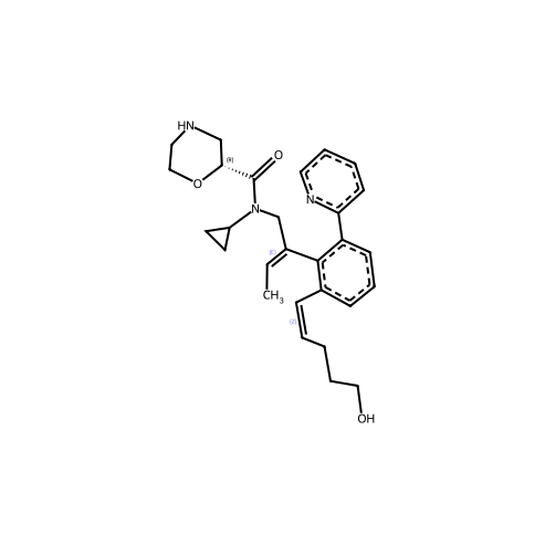 C/C=C(/CN(C(=O)[C@H]1CNCCO1)C1CC1)c1c(/C=C\CCCO)cccc1-c1ccccn1